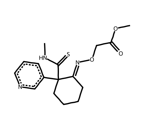 CNC(=S)C1(c2cccnc2)CCCCC1=NOCC(=O)OC